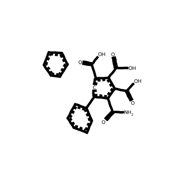 NC(=O)c1c(-c2ccccc2)cc(C(=O)O)c(C(=O)O)c1C(=O)O.c1ccccc1